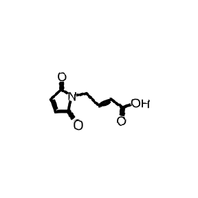 O=C(O)C=CCN1C(=O)C=CC1=O